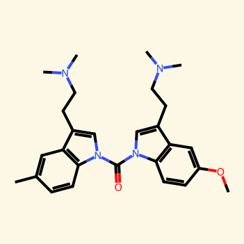 COc1ccc2c(c1)c(CCN(C)C)cn2C(=O)n1cc(CCN(C)C)c2cc(C)ccc21